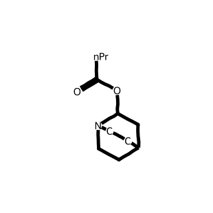 CCCC(=O)OC1CC2CCN1CC2